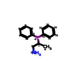 CC(CN)P(c1ccccc1)c1ccccc1